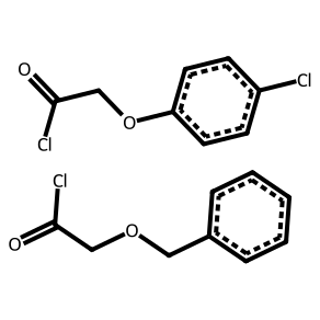 O=C(Cl)COCc1ccccc1.O=C(Cl)COc1ccc(Cl)cc1